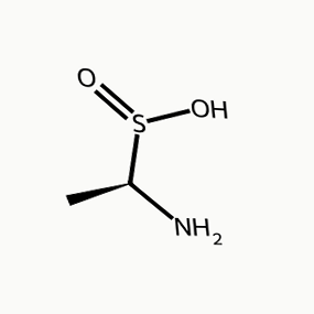 C[C@H](N)S(=O)O